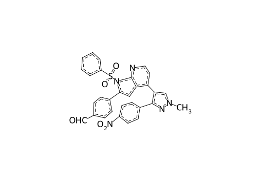 Cn1cc(-c2ccnc3c2cc(-c2ccc(C=O)cc2)n3S(=O)(=O)c2ccccc2)c(-c2ccc([N+](=O)[O-])cc2)n1